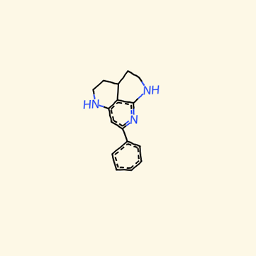 c1ccc(-c2cc3c4c(n2)NCCC4CCN3)cc1